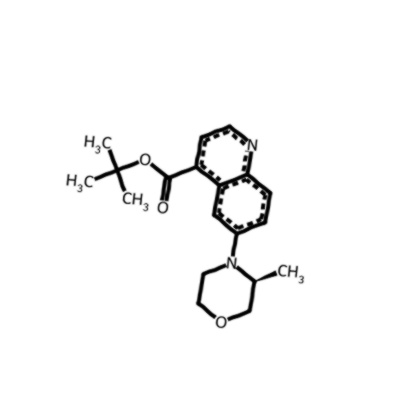 C[C@H]1COCCN1c1ccc2nccc(C(=O)OC(C)(C)C)c2c1